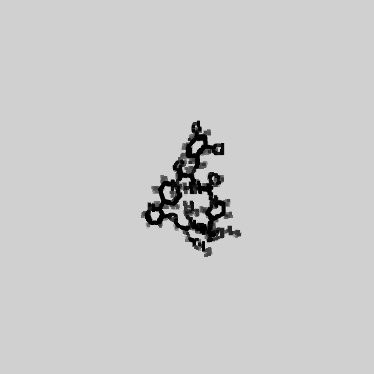 CC[C@H](COc1cccnc1C1CCN(C(=O)[C@@H](Cc2ccc(Cl)cc2Cl)NC(=O)N2CCC(NC)C2)CC1)N(C)C